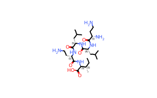 CC[C@H](C)[C@H](NC(=O)[C@H](CCN)NC(=O)[C@H](CC(C)C)NC(=O)[C@@H](CC(C)C)NC(=O)[C@@H](N)CCN)C(=O)O